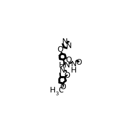 COc1ccc2c(c1)OCN(C[C@H](NC(=O)NC=O)c1ccc(Oc3cncnc3)cc1)C2